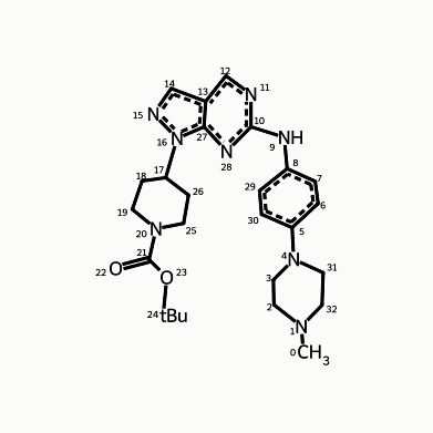 CN1CCN(c2ccc(Nc3ncc4cnn(C5CCN(C(=O)OC(C)(C)C)CC5)c4n3)cc2)CC1